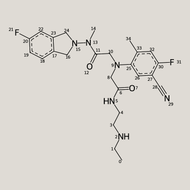 CCNCCNC(=O)CN(CC(=O)N(C)N1Cc2ccc(F)cc2C1)c1cc(C#N)c(F)cc1C